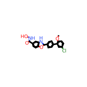 COc1ccc(Cl)cc1-c1ccc(C2Nc3cc(C(=O)NO)ccc3O2)cc1